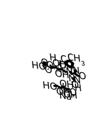 Cc1cc2nc3c(=O)[nH]c(=O)nc-3n(C[C@H](O)[C@H](O)[C@H](O)COP(=O)([O-])O)c2cc1C.O=C[C@H](O)[C@H](O)[C@H](O)CO.[Na+]